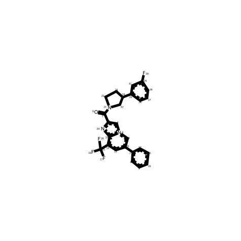 O=C(c1cn2cc(-c3ccccc3)cc(C(F)(F)F)c2n1)N1CCC(c2cccc(F)c2)C1